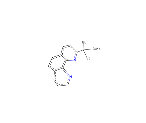 CCC(CC)(OC)c1ccc2ccc3cccnc3c2n1